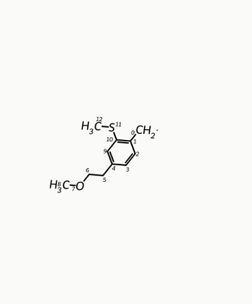 [CH2]c1ccc(CCOC)cc1SC